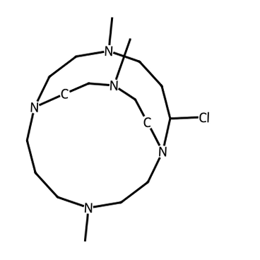 CN1CCC(Cl)N2CCN(C)CCCN(CC1)CCN(C)CC2